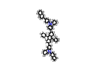 c1ccc(-c2c3ccc(-c4ccc5c(c4)c4ccccc4n5-c4ccc5ccccc5c4)cc3c(-c3ccccc3)c3ccc(-c4ccc5c(c4)c4ccccc4n5-c4ccc(-c5ccc6ccccc6c5)cc4)cc23)cc1